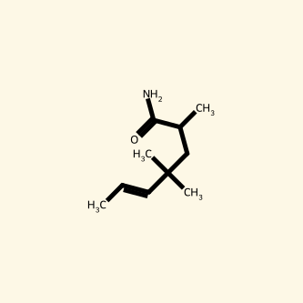 C/C=C/C(C)(C)CC(C)C(N)=O